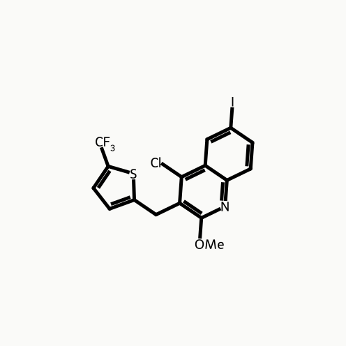 COc1nc2ccc(I)cc2c(Cl)c1Cc1ccc(C(F)(F)F)s1